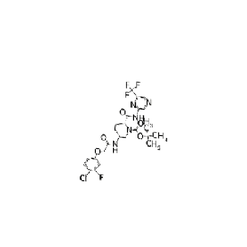 CC(C)(C)OC(=O)N1C[C@@H](NC(=O)COc2ccc(Cl)c(F)c2)CC[C@@H]1C(=O)Nc1cncc(C(F)(F)F)n1